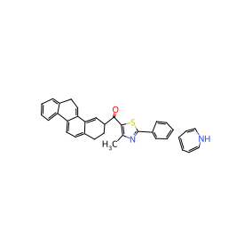 C1=CC=CNC=C1.Cc1nc(-c2ccccc2)sc1C(=O)C1C=c2c(ccc3c2=CCc2ccccc2-3)CC1